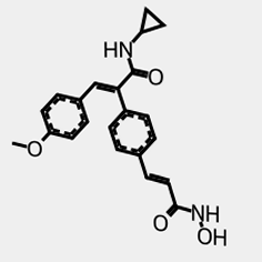 COc1ccc(/C=C(/C(=O)NC2CC2)c2ccc(/C=C/C(=O)NO)cc2)cc1